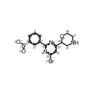 O=[N+]([O-])c1cccc(-c2nc(Br)cc(C3CNCCO3)n2)c1